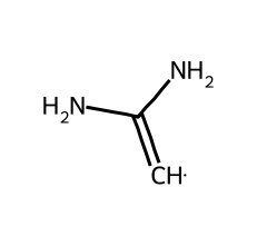 [CH]=C(N)N